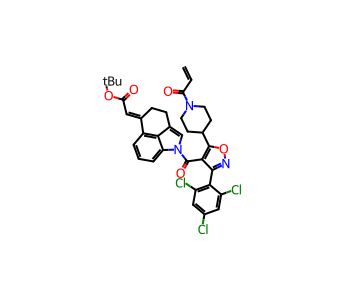 C=CC(=O)N1CCC(c2onc(-c3c(Cl)cc(Cl)cc3Cl)c2C(=O)n2cc3c4c(cccc42)/C(=C/C(=O)OC(C)(C)C)CC3)CC1